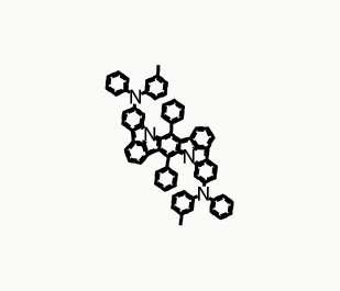 Cc1cccc(N(c2ccccc2)c2ccc3c4cccc5c6c(-c7ccccc7)c7c(c(-c8ccccc8)c6n(c3c2)c45)c2cccc3c4ccc(N(c5ccccc5)c5cccc(C)c5)cc4n7c32)c1